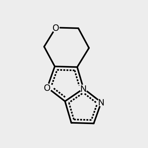 c1cc2oc3c(n2n1)CCOC3